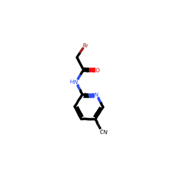 N#Cc1ccc(NC(=O)CBr)nc1